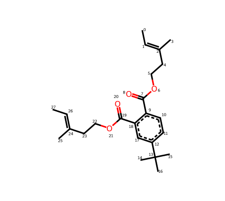 CC=C(C)CCOC(=O)c1ccc(C(C)(C)C)cc1C(=O)OCCC(C)=CC